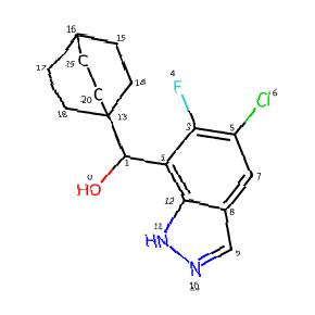 OC(c1c(F)c(Cl)cc2cn[nH]c12)C12CCC(CC1)CC2